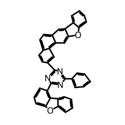 c1ccc(-c2nc(-c3ccc4ccc5cc6c(cc5c4c3)oc3ccccc36)nc(-c3cccc4oc5ccccc5c34)n2)cc1